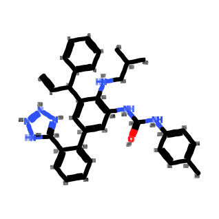 C=CC(c1ccccc1)c1cc(-c2ccccc2-c2nnn[nH]2)cc(NC(=O)Nc2ccc(C)cc2)c1NCC(C)C